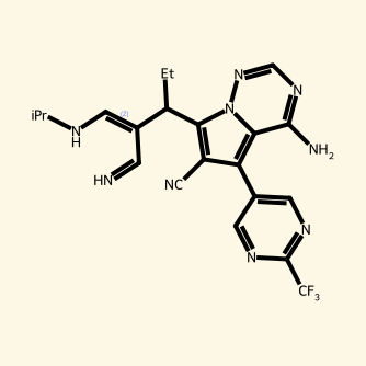 CCC(/C(C=N)=C/NC(C)C)c1c(C#N)c(-c2cnc(C(F)(F)F)nc2)c2c(N)ncnn12